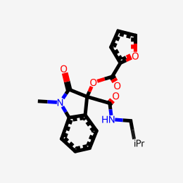 CC(C)CNC(=O)C1(OC(=O)c2ccco2)C(=O)N(C)c2ccccc21